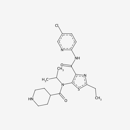 CCc1nc(C(=O)Nc2ccc(Cl)cn2)c(N(C(=O)C2CCNCC2)C(C)C)s1